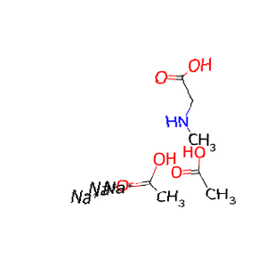 CC(=O)O.CC(=O)O.CNCC(=O)O.[Na+].[Na+].[Na+]